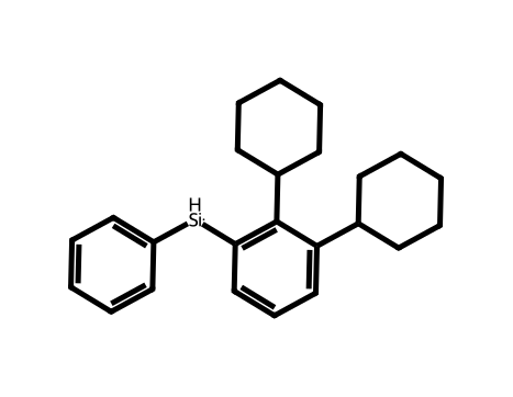 c1ccc([SiH]c2cccc(C3CCCCC3)c2C2CCCCC2)cc1